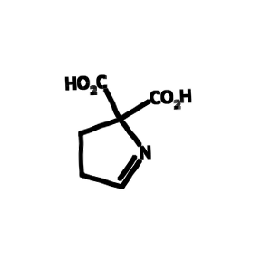 O=C(O)C1(C(=O)O)CCC=N1